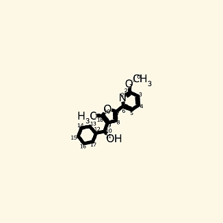 COc1cccc(-c2cc(C(O)C3CCCCC3)c(C)o2)n1